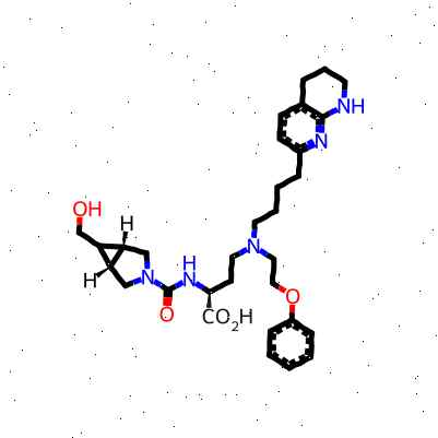 O=C(O)[C@H](CCN(CCCCc1ccc2c(n1)NCCC2)CCOc1ccccc1)NC(=O)N1C[C@@H]2C(CO)[C@@H]2C1